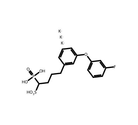 O=P(O)(O)C(CCCc1cccc(Oc2cccc(F)c2)c1)S(=O)(=O)O.[K].[K].[K]